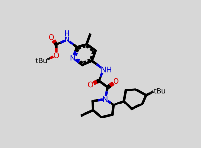 Cc1cc(NC(=O)C(=O)N2CC(C)CCC2C2CCC(C(C)(C)C)CC2)cnc1NC(=O)OC(C)(C)C